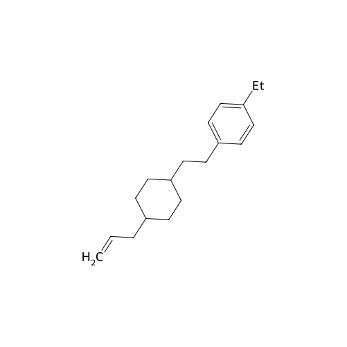 C=CCC1CCC(CCc2ccc(CC)cc2)CC1